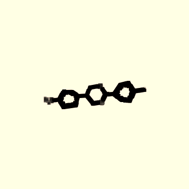 Bc1ccc(C2COC(c3ccc(C)cc3)OC2)cc1